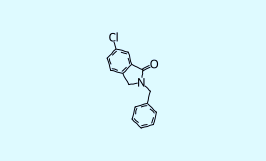 O=C1c2cc(Cl)ccc2CN1Cc1ccccc1